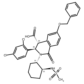 CS(=O)(=O)N[C@H]1CCCC[C@@H]1N1C(=O)c2ccc(OCc3ccccc3)cc2[C@@H](C(=O)O)[C@@H]1c1ccc(Cl)cc1Cl